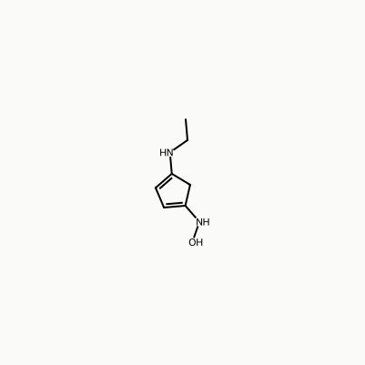 CCNC1=CC=C(NO)C1